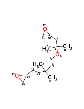 CC(C)(CCOC(C)(C)CC1CO1)CCC1CO1